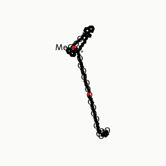 COCCOCCOCCN1\C(=C/C=C/C=C/C=C/C2=[N+](CCOCCOCCOCCOCCOCCOCCOCCOCCOCCOCCOCCOCCC(=O)ON3C(=O)CCC3=O)c3ccc4ccccc4c3C2(C)C)C(C)(C)c2c1ccc1ccccc21